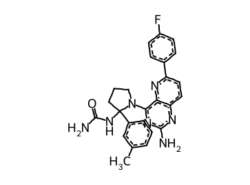 Cc1cccc(C2(NC(N)=O)CCCN2c2nc(N)nc3ccc(-c4ccc(F)cc4)nc23)c1